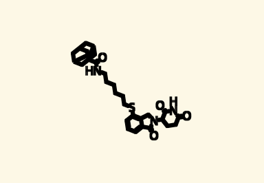 O=C1CCC(N2Cc3c(SCCCCCCNC(=O)C45CC6CC(CC(C6)C4)C5)cccc3C2=O)C(=O)N1